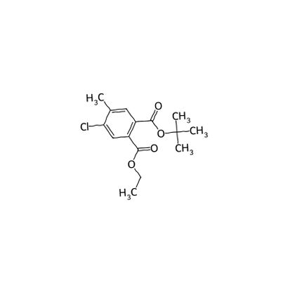 CCOC(=O)c1cc(Cl)c(C)cc1C(=O)OC(C)(C)C